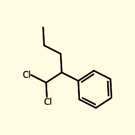 CCCC(c1ccccc1)C(Cl)Cl